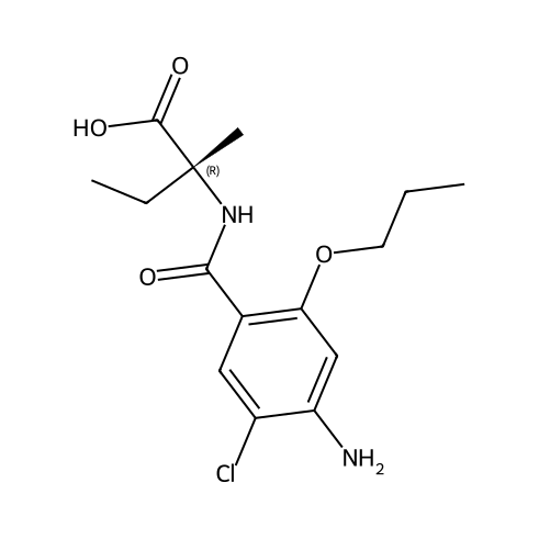 CCCOc1cc(N)c(Cl)cc1C(=O)N[C@](C)(CC)C(=O)O